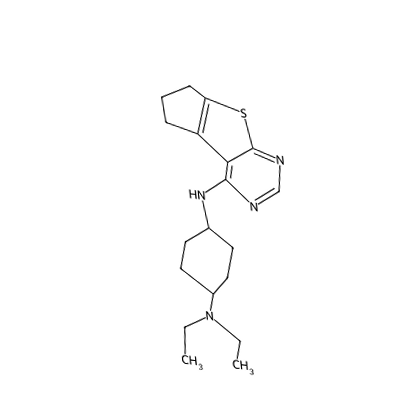 CCN(CC)C1CCC(Nc2ncnc3sc4c(c23)CCC4)CC1